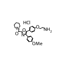 COc1ccc(-c2nc(C(=O)N3CCCCC3)oc2-c2ccc(OCCN)cc2)cc1.Cl